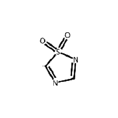 O=S1(=O)[C]=NC=N1